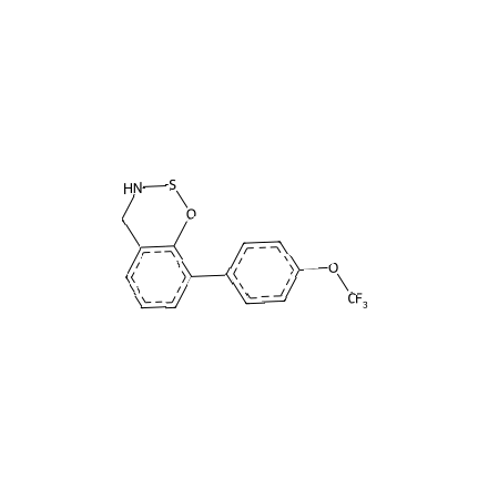 FC(F)(F)Oc1ccc(-c2cccc3c2OSNC3)cc1